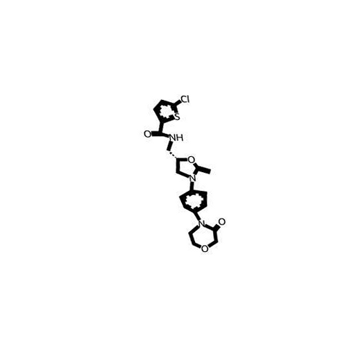 C=C1O[C@@H](CNC(=O)c2ccc(Cl)s2)CN1c1ccc(N2CCOCC2=O)cc1